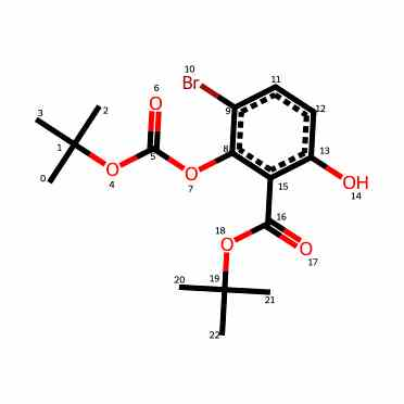 CC(C)(C)OC(=O)Oc1c(Br)ccc(O)c1C(=O)OC(C)(C)C